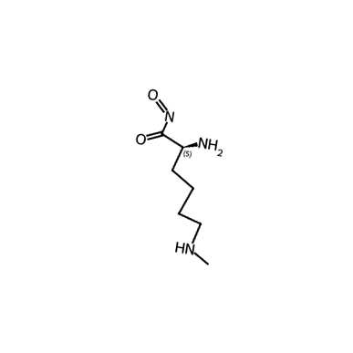 CNCCCC[C@H](N)C(=O)N=O